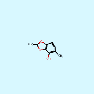 Cc1ccc2c(c1O)OC(C)O2